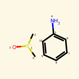 C[S+](C)[O-].Nc1cc[c]cc1